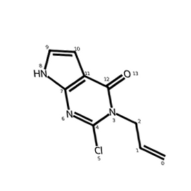 C=CCn1c(Cl)nc2[nH]ccc2c1=O